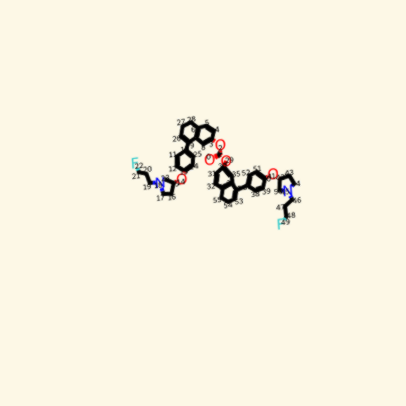 O=C(Oc1ccc2c(c1)C(c1ccc(OC3CCN(CCCF)C3)cc1)=CCC2)Oc1ccc2c(c1)C(c1ccc(OC3CCN(CCCF)C3)cc1)=CCC2